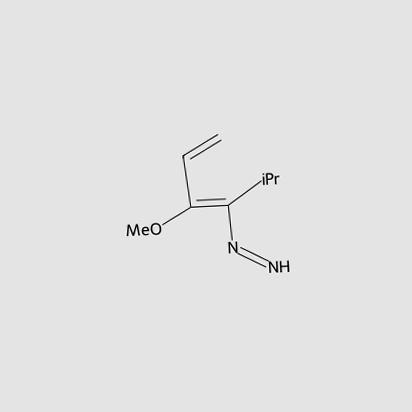 C=C/C(OC)=C(/N=N)C(C)C